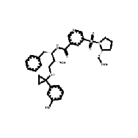 COC[C@H]1CCCN1S(=O)(=O)c1cncc(C(=O)N[C@@H](Cc2ccccc2)[C@H](O)CNC2(c3cccc(C(C)(C)C)c3)CC2)c1